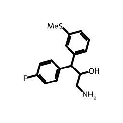 CSc1cccc(C(c2ccc(F)cc2)C(O)CN)c1